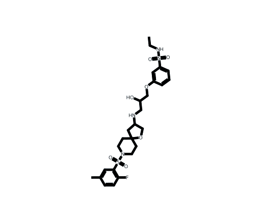 CCNS(=O)(=O)c1cccc(OCC(O)CNC2COC3(CCN(S(=O)(=O)c4cc(C)ccc4F)CC3)C2)c1